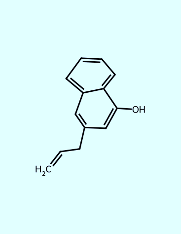 C=CCc1cc(O)c2ccccc2c1